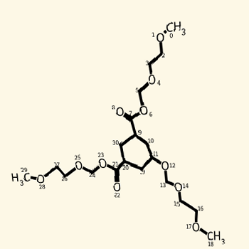 COCCOCOC(=O)C1CC(OCOCCOC)CC(C(=O)OCOCCOC)C1